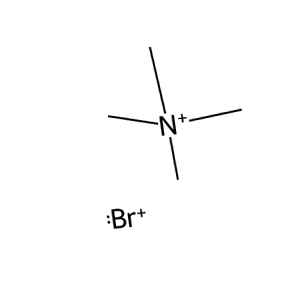 C[N+](C)(C)C.[Br+]